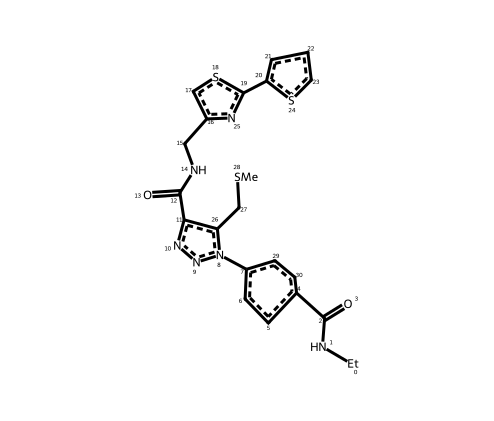 CCNC(=O)c1ccc(-n2nnc(C(=O)NCc3csc(-c4cccs4)n3)c2CSC)cc1